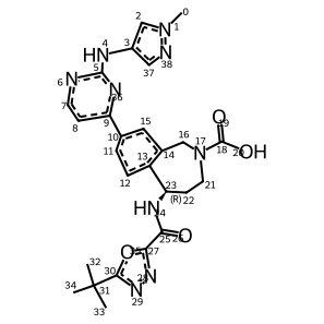 Cn1cc(Nc2nccc(-c3ccc4c(c3)CN(C(=O)O)CC[C@H]4NC(=O)c3nnc(C(C)(C)C)o3)n2)cn1